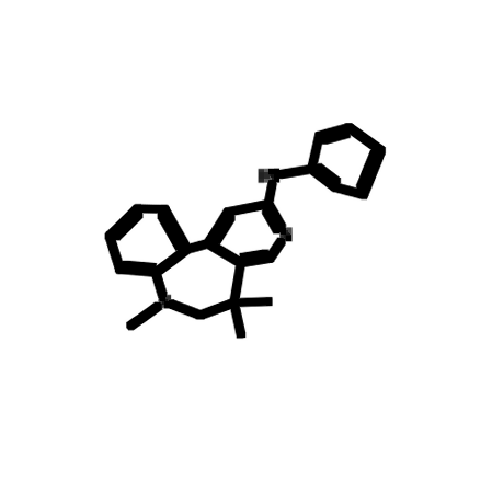 CN1CC(C)(C)c2cnc(Nc3ccccc3)cc2-c2ccccc21